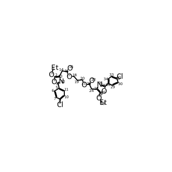 CCOc1oc(-c2ccc(Cl)cc2)nc1CC(=O)OCCCOC(=O)Cc1nc(-c2ccc(Cl)cc2)oc1OCC